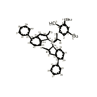 CC(C)(C)c1ccc(O)c(C(C)(C)C)c1.CC1=Cc2c(-c3ccccc3)cccc2[CH]1[Zr](=[C](C)C)[CH]1C(C)=Cc2c(-c3ccccc3)cccc21